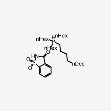 CCCCCCCCCCCCCC[PH](CCCCCC)(CCCCCC)CCCCCC.O=C1NS(=O)(=O)c2ccccc21